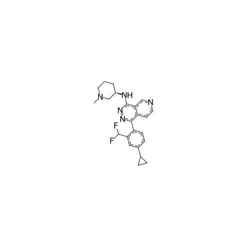 CN1CCC[C@@H](Nc2nnc(-c3ccc(C4CC4)cc3C(F)F)c3ccncc23)C1